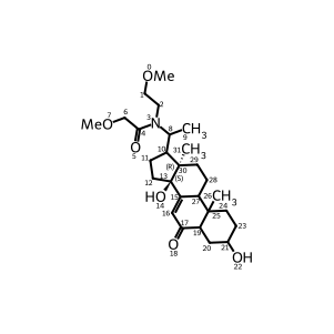 COCCN(C(=O)COC)C(C)C1CC[C@@]2(O)C3=CC(=O)C4CC(O)CCC4(C)C3CC[C@]12C